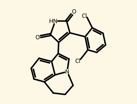 O=C1NC(=O)C(c2cn3c4c(cccc24)CCC3)=C1c1c(Cl)cccc1Cl